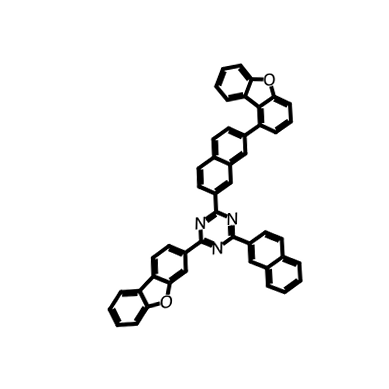 c1ccc2cc(-c3nc(-c4ccc5ccc(-c6cccc7oc8ccccc8c67)cc5c4)nc(-c4ccc5c(c4)oc4ccccc45)n3)ccc2c1